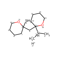 C[SiH](C)C1(CC2([SiH3])CCCCO2)CCCCO1.[H+]